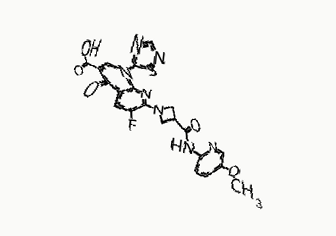 COc1ccc(NC(=O)C2CN(c3nc4c(cc3F)c(=O)c(C(=O)O)cn4-c3ncns3)C2)nc1